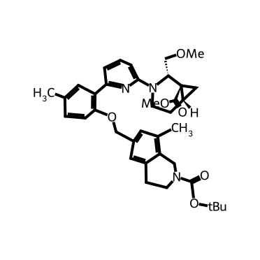 COC[C@H]1N(c2cccc(-c3cc(C)ccc3OCc3cc(C)c4c(c3)CCN(C(=O)OC(C)(C)C)C4)n2)CC[C@H]2C[C@]21C(=O)OC